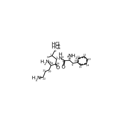 CC(C)[C@H](NC(=O)[C@@H](N)Cc1ccccc1)C(=O)C(N)CCCN.Cl.Cl